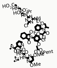 CC1COc2ccccc2N1C(=O)C(Cl)Cl.CCCCCOC(=O)COc1cc(N2C(=O)C3=C(CCCC3)C2=O)c(F)cc1Cl.CCNc1nc(Cl)nc(NC(C)C)n1.COc1cc(OC)nc(NC(=O)NS(=O)(=O)c2ncccc2C(=O)N(C)C)n1.C[S+](C)C.O=C(O)CNCP(=O)([O-])O